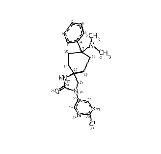 CN(C)C1(c2ccccc2)CCC2(CC1)CN(c1cnc(Cl)nc1)C(=O)N2